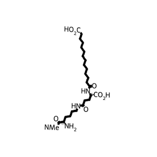 CNC(=O)[C@@H](N)CCCCNC(=O)CC[C@H](NC(=O)CCCCCCCCCCCCC(=O)O)C(=O)O